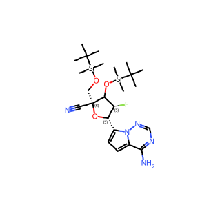 CC(C)(C)[Si](C)(C)OC[C@@]1(C#N)O[C@@H](c2ccc3c(N)ncnn23)[C@H](F)C1O[Si](C)(C)C(C)(C)C